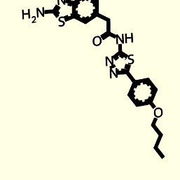 CCCCOc1ccc(-c2nnc(NC(=O)Cc3ccc4nc(N)sc4c3)s2)cc1